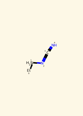 CC[SiH2]N=C=N